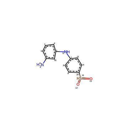 Nc1cccc(Nc2ccc([SH](=O)=O)cc2)c1